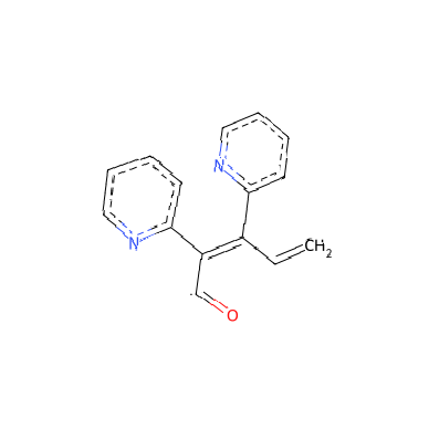 C=C/C(=C(\[C]=O)c1ccccn1)c1ccccn1